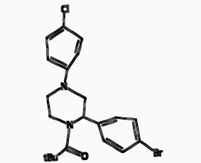 CC(C)(C)C(=O)N1CCN(c2ccc(Cl)cc2)CC1c1ccc(Br)cc1